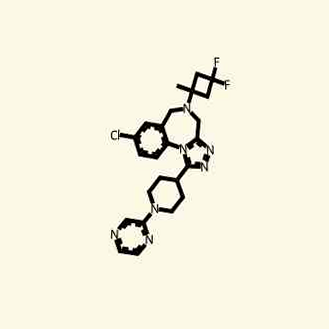 CC1(N2Cc3cc(Cl)ccc3-n3c(nnc3C3CCN(c4cnccn4)CC3)C2)CC(F)(F)C1